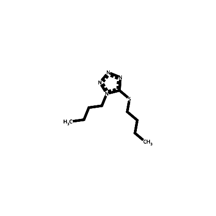 CCCCSc1nnnn1CCCC